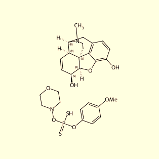 CN1CC[C@]23c4c5ccc(O)c4O[C@H]2[C@@H](O)C=C[C@H]3[C@H]1C5.COc1ccc(OP(=S)(S)ON2CCOCC2)cc1